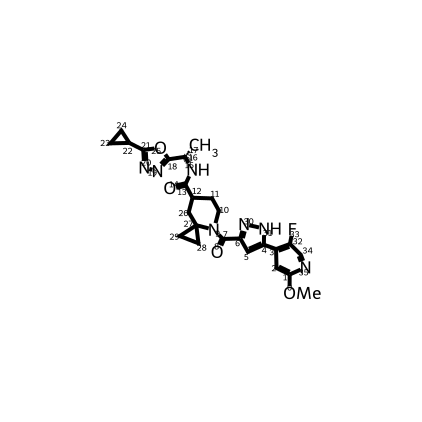 COc1cc(-c2cc(C(=O)N3CCC(C(=O)N[C@@H](C)c4nnc(C5CC5)o4)CC34CC4)n[nH]2)c(F)cn1